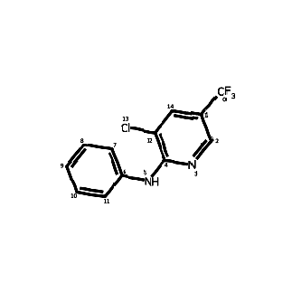 FC(F)(F)c1cnc(Nc2ccccc2)c(Cl)c1